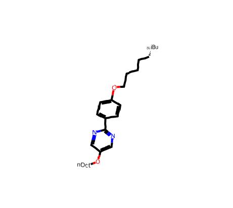 CCCCCCCCOc1cnc(-c2ccc(OCCCCC[C@@H](C)CC)cc2)nc1